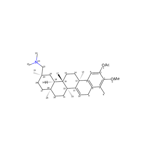 COc1c(OC(C)=O)cc2c(c1C)CC=C1[C@@]2(C)CC[C@@]2(C)[C@@H]3C[C@](C)(CN(C)C)CC[C@]3(C)CC[C@]12C